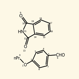 CCCOc1ccc(C=O)cc1.O=C1NC(=O)c2ccccc21